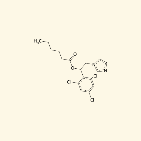 CCCCCC(=O)OC(Cn1ccnc1)c1c(Cl)cc(Cl)cc1Cl